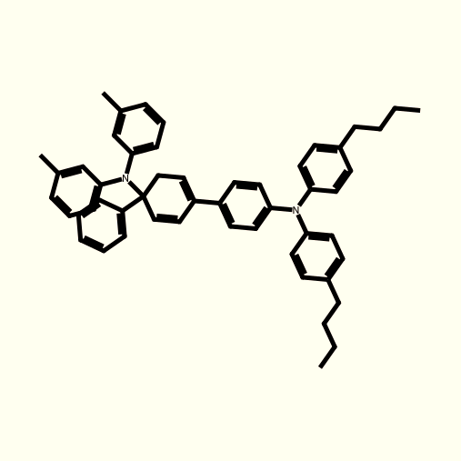 CCCCc1ccc(N(c2ccc(CCCC)cc2)c2ccc(C3=CCC(c4ccccc4)(N(c4cccc(C)c4)c4cccc(C)c4)C=C3)cc2)cc1